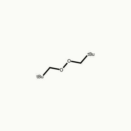 CC(C)(C)COOCC(C)(C)C